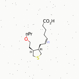 CCCOCC[C@@H]1CSC[C@@H]1C/C=C\CCCC(=O)O